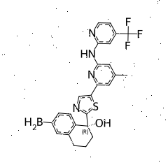 Bc1ccc2c(c1)CCC[C@]2(O)c1ncc(-c2cc(C)cc(Nc3cc(C(F)(F)F)ccn3)n2)s1